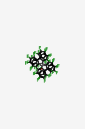 Fc1c(F)c(F)c(-c2c(F)c(F)c(F)c(F)[c]2[Ga-]([c]2c(F)c(F)c(F)c(F)c2-c2c(F)c(F)c(F)c(F)c2F)([c]2c(F)c(F)c(F)c(F)c2-c2c(F)c(F)c(F)c(F)c2F)[c]2c(F)c(F)c(F)c(F)c2-c2c(F)c(F)c(F)c(F)c2F)c(F)c1F